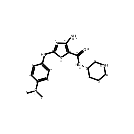 CN(C)c1ccc(Nc2nc(N)c(C(=O)N[C@H]3CCCNC3)s2)cc1